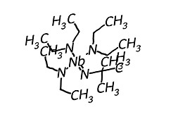 CC[N](CC)[Nb](=[N]C(C)(C)C)([N](CC)CC)[N](CC)CC